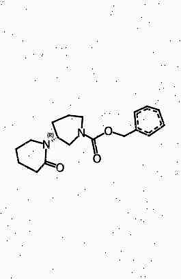 O=C(OCc1ccccc1)N1CCC[C@@H](N2CCCCC2=O)C1